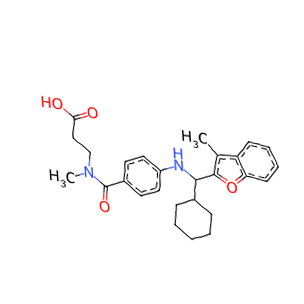 Cc1c(C(Nc2ccc(C(=O)N(C)CCC(=O)O)cc2)C2CCCCC2)oc2ccccc12